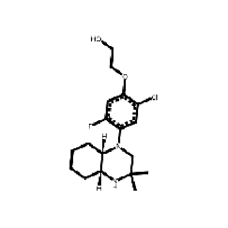 CC1(C)CN(c2cc(Cl)c(OCCO)cc2F)[C@H]2CCCC[C@H]2N1